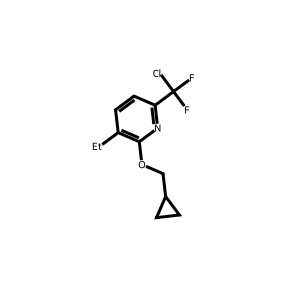 CCc1ccc(C(F)(F)Cl)nc1OCC1CC1